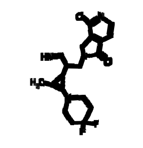 CC1=C(N2CCC(F)(F)CC2)C1C(C=N)CN1Cc2c(ccnc2Cl)C1=O